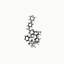 CN(C)S(=O)(=O)c1ccccc1Nc1nc(Nc2ccc(N3CCOCC3)cc2)nc2[nH]cc(-c3cn[nH]c3)c12